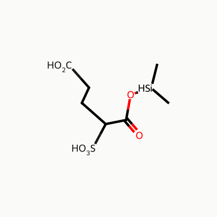 C[SiH](C)OC(=O)C(CCC(=O)O)S(=O)(=O)O